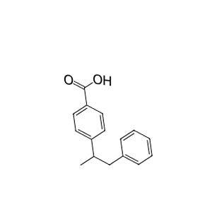 CC(Cc1ccccc1)c1ccc(C(=O)O)cc1